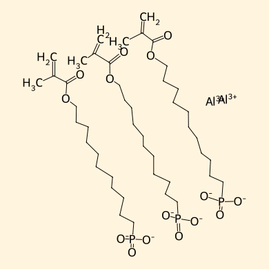 C=C(C)C(=O)OCCCCCCCCCCCP(=O)([O-])[O-].C=C(C)C(=O)OCCCCCCCCCCCP(=O)([O-])[O-].C=C(C)C(=O)OCCCCCCCCCCCP(=O)([O-])[O-].[Al+3].[Al+3]